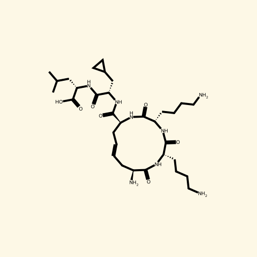 CC(C)C[C@H](NC(=O)[C@H](CC1CC1)NC(=O)[C@@H]1C/C=C/C[C@H](N)C(=O)N[C@@H](CCCCN)C(=O)N[C@@H](CCCCN)C(=O)N1)C(=O)O